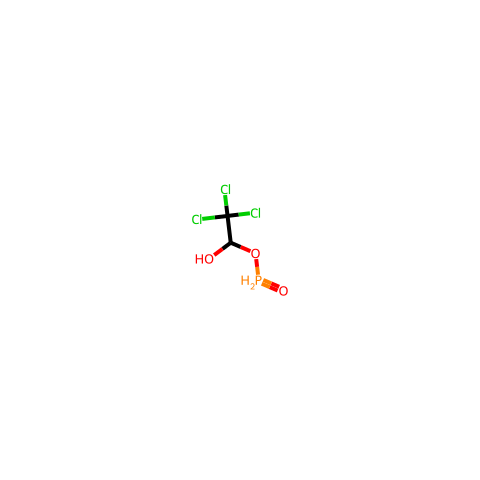 O=[PH2]OC(O)C(Cl)(Cl)Cl